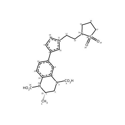 C[C@H]1CN(C(=O)O)c2cc(-c3cnn(CCN4CCCS4(=O)=O)c3)ccc2N1C(=O)O